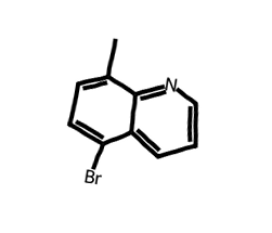 Cc1ccc(Br)c2cccnc12